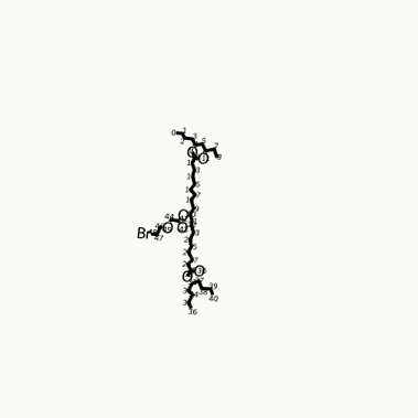 CCCCC(CCCC)OC(=O)CCCCCCCCC(CCCCCCCCC(=O)OC(CCCC)CCCC)OC(=O)COCCBr